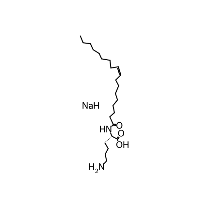 CCCCCCCC/C=C\CCCCCCCC(=O)N[C@@H](CCCCN)C(=O)O.[NaH]